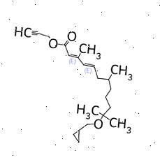 C#CCOC(=O)/C=C(C)/C=C/CC(C)CCCC(C)(C)OCC1CC1